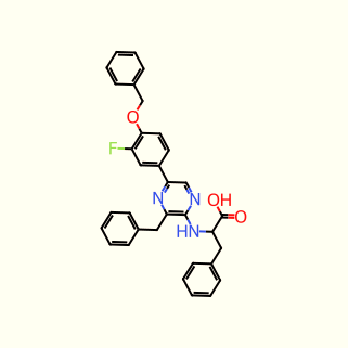 O=C(O)C(Cc1ccccc1)Nc1ncc(-c2ccc(OCc3ccccc3)c(F)c2)nc1Cc1ccccc1